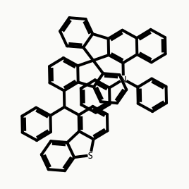 c1ccc(C(c2cccc3c2-c2ccccc2C32c3ccccc3-c3cc4ccccc4c(N(c4ccccc4)c4ccccc4)c32)c2cccc3sc4ccccc4c23)cc1